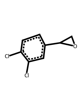 Clc1ccc(C2CO2)cc1Cl